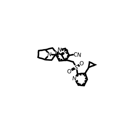 N#Cc1ccc(N2C3CCC2CN(C(=O)CCS(=O)(=O)c2ncccc2C2CC2)C3)nc1